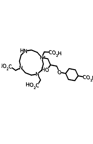 O=C(O)CN1CCNCC[N+](CC(=O)O)(CC(O)COC2CCC(C(=O)O)CC2)CCN(CC(=O)O)CC1